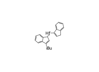 CCC(C)C1=C[CH]([Hf][C]2=CCc3ccccc32)c2ccccc21